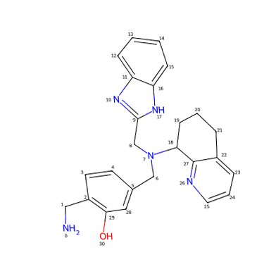 NCc1ccc(CN(Cc2nc3ccccc3[nH]2)C2CCCc3cccnc32)cc1O